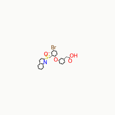 O=C(O)Cc1cccc(Oc2ccc(Br)cc2C[S+]([O-])c2ccc3ccccc3n2)c1